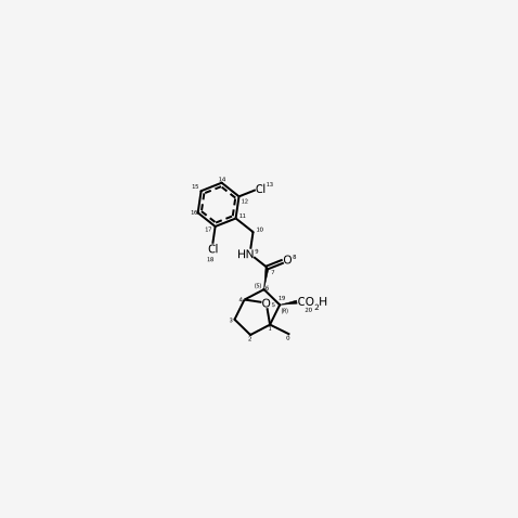 CC12CCC(O1)[C@@H](C(=O)NCc1c(Cl)cccc1Cl)[C@H]2C(=O)O